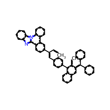 C/C=C\C(=C/c1ccc(-c2/c(=C/C)c(=C(c3ccccc3)c3ccccc3)cc3ccccc23)cc1)c1ccc2c(c1)c1ccccc1n1c3ccccc3nc21